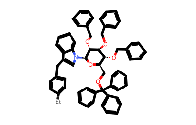 CCc1ccc(Cc2cn([C@@H]3O[C@H](COC(c4ccccc4)(c4ccccc4)c4ccccc4)[C@@H](OCc4ccccc4)[C@H](OCc4ccccc4)[C@H]3OCc3ccccc3)c3ccccc23)cc1